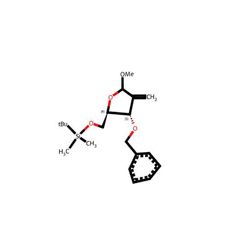 C=C1C(OC)O[C@H](CO[Si](C)(C)C(C)(C)C)[C@H]1OCc1ccccc1